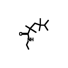 CCNC(=O)C(C)(C)CC(C)(C)C(C)C